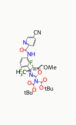 COC[C@H]1OC(N(C(=O)OC(C)(C)C)C(=O)OC(C)(C)C)=N[C@](C)(c2cc(NC(=O)c3ccc(C#N)cn3)ccc2F)[C@H]1F